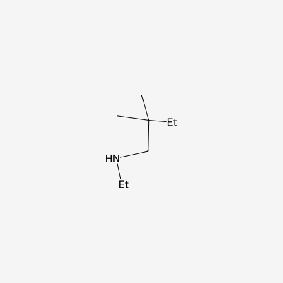 [CH2]CNCC(C)(C)CC